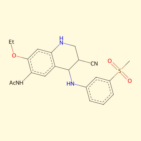 CCOc1cc2c(cc1NC(C)=O)C(Nc1cccc(S(C)(=O)=O)c1)C(C#N)CN2